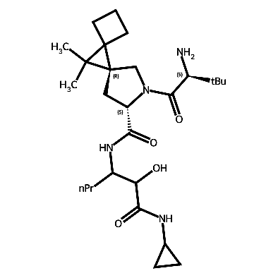 CCCC(NC(=O)[C@@H]1C[C@@]2(CN1C(=O)[C@@H](N)C(C)(C)C)C(C)(C)C21CCC1)C(O)C(=O)NC1CC1